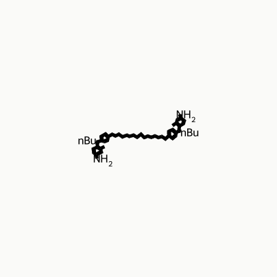 CCCCC(c1ccc(CCCCCCCCCCCCCCCCc2ccc(C(CCCC)c3ccc(N)cc3C)cc2)cc1)c1ccc(N)cc1C